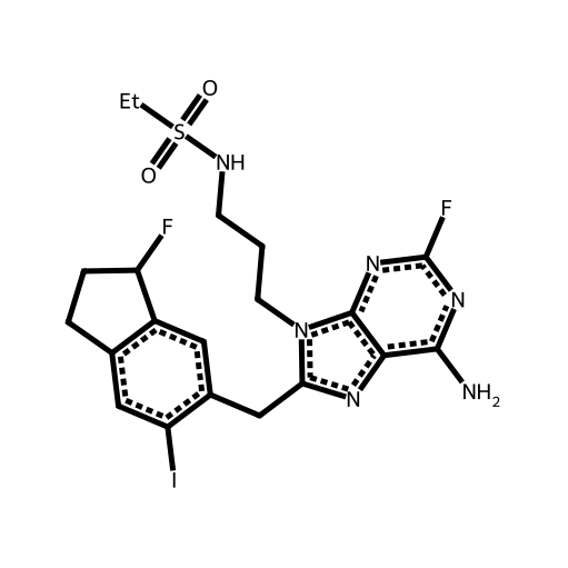 CCS(=O)(=O)NCCCn1c(Cc2cc3c(cc2I)CCC3F)nc2c(N)nc(F)nc21